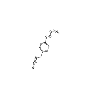 [N-]=[N+]=NCc1ccc(SOON)cc1